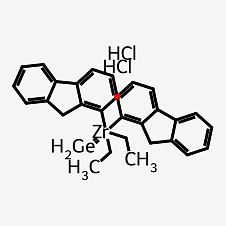 C[CH2][Zr](=[GeH2])([CH2]C)([c]1cccc2c1Cc1ccccc1-2)[c]1cccc2c1Cc1ccccc1-2.Cl.Cl